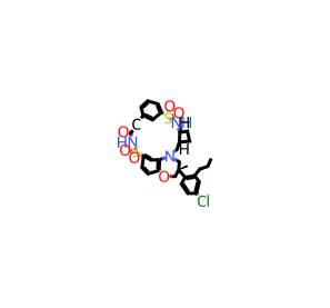 CCCc1cc(Cl)ccc1[C@]1(C)COc2ccc3cc2N(C[C@@H]2CC[C@H]2NS(=O)(=O)c2cccc(c2)CC(=O)NS3(=O)=O)C1